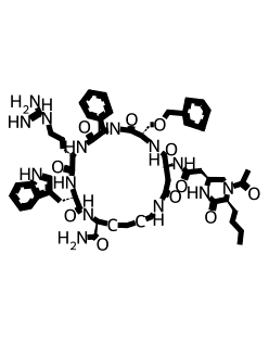 CCCC[C@H]1C(=O)N[C@@H](CC(=O)N[C@H]2CC(=O)NCCCC[C@@H](C(N)=O)NC(=O)[C@H](Cc3c[nH]c4ccccc34)NC(=O)[C@H](CCCNC(=N)N)NC(=O)C(c3ccccc3)NC(=O)[C@H](COCc3ccccc3)NC2=O)CN1C(C)=O